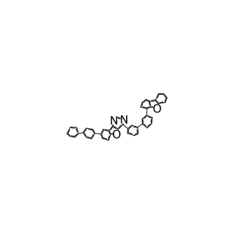 c1ccc(-c2ccc(-c3ccc4oc5c(-c6cccc(-c7cccc(-c8cccc9c8oc8ccccc89)c7)c6)ncnc5c4c3)cc2)cc1